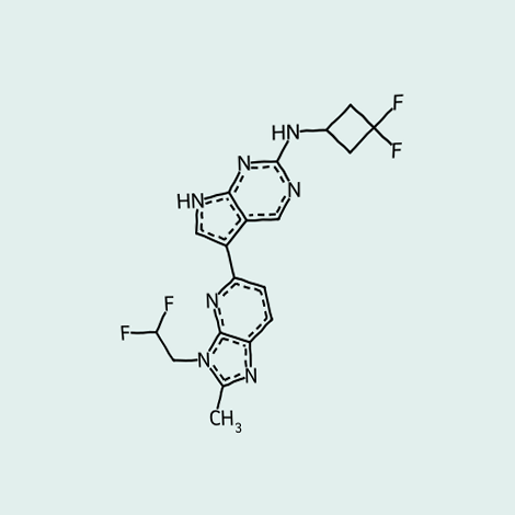 Cc1nc2ccc(-c3c[nH]c4nc(NC5CC(F)(F)C5)ncc34)nc2n1CC(F)F